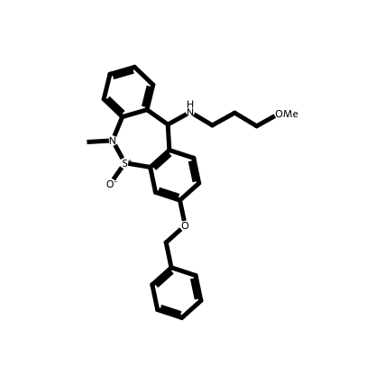 COCCCNC1c2ccccc2N(C)[S+]([O-])c2cc(OCc3ccccc3)ccc21